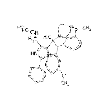 COc1cccc(C(c2cccc(OC)c2)C(C)(c2nc(-c3ccccc3)[nH]c2C)N2CCNCC2)c1.Cl.Cl.Cl